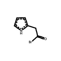 O=C(Br)Cc1ccc[nH]1